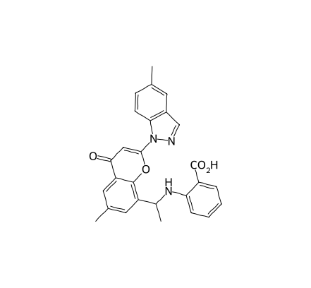 Cc1ccc2c(cnn2-c2cc(=O)c3cc(C)cc(C(C)Nc4ccccc4C(=O)O)c3o2)c1